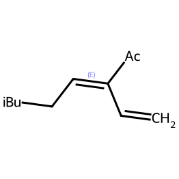 C=C/C(=C\CC(C)CC)C(C)=O